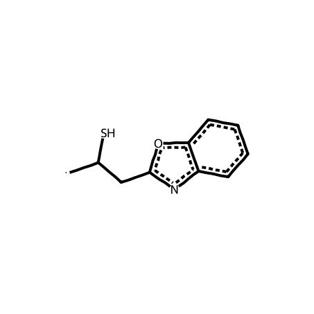 [CH2]C(S)Cc1nc2ccccc2o1